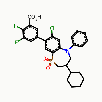 O=C(O)c1cc(-c2cc3c(cc2Cl)N(c2ccccc2)CC(C2CCCCC2)CS3(=O)=O)cc(F)c1F